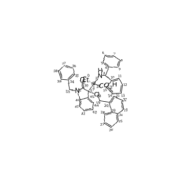 CC[C@](NC(c1ccccc1)c1ccccc1)(C(=O)O)C1(OCc2cccc3ccccc23)C(=O)N(Cc2ccccc2)c2ccccc21